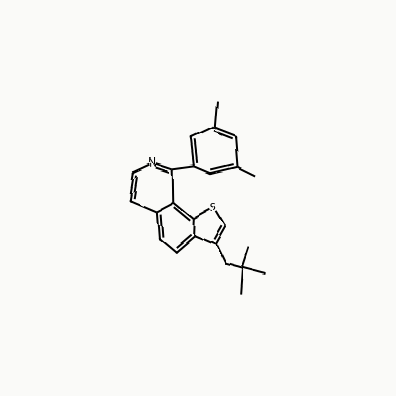 Cc1cc(C)cc(-c2nccc3ccc4c(CC(C)(C)C)csc4c23)c1